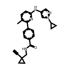 C#CC1(CNC(=O)c2ccc(-c3nc(Nc4cnn(C5CC5)c4)ccc3C)cc2)CC1